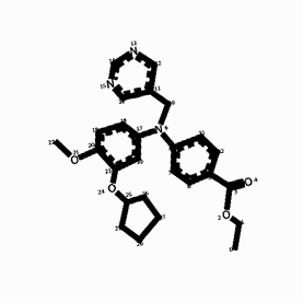 CCOC(=O)c1ccc(N(Cc2cncnc2)c2ccc(OC)c(OC3CCCC3)c2)cc1